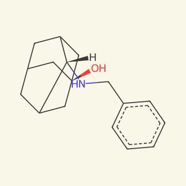 O[C@]12CC3CC(C1)[C@@H](NCc1ccccc1)C(C3)C2